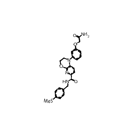 CSc1ccc(CNC(=O)c2ccc3c(n2)OCCN3c2cccc(OCC(N)=O)c2)cc1